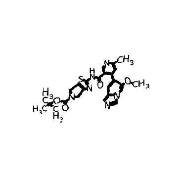 COc1cn2cncc2cc1-c1cc(C)ncc1C(=O)Nc1nc2c(s1)CN(C(=O)OC(C)(C)C)C2